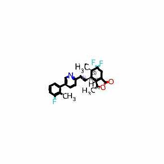 Cc1c(F)cccc1-c1ccc(/C=C/[C@@H]2[C@H]3C(CC(F)(F)[C@H]2C)C(=O)O[C@@H]3C)nc1